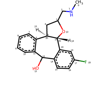 CNCC1C[C@@H]2c3ccccc3C(O)c3ccc(F)cc3[C@H]2O1